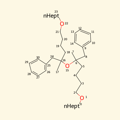 CCCCCCCOCCCCC(C)(Cc1ccccc1)OC(C)(CCCCOCCCCCCC)Cc1ccccc1